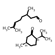 CC(C)=CCCC(C)CC=O.CC(C)[C@H]1CC[C@@H](C)CC1=O